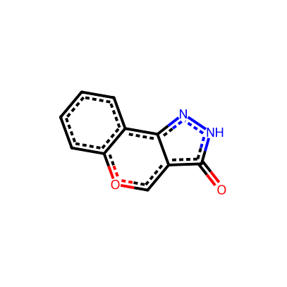 O=c1[nH]nc2c3ccccc3occ1-2